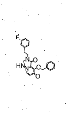 O=C1c2c(OCc3ccccc3)c(=O)ccn2NCN1CCc1cccc(F)c1